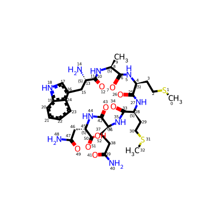 CSCC[C@H](NC(=O)[C@H](C)NC(=O)[C@@H](N)Cc1c[nH]c2ccccc12)C(=O)N[C@@H](CCSC)C(=O)N[C@@H](CCC(N)=O)C(=O)N[C@@H](CC(N)=O)C(=O)O